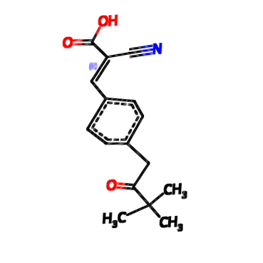 CC(C)(C)C(=O)Cc1ccc(/C=C(\C#N)C(=O)O)cc1